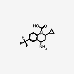 NC1CC(C2CC2)N(C(=O)O)c2ccc(C(F)(F)F)cc21